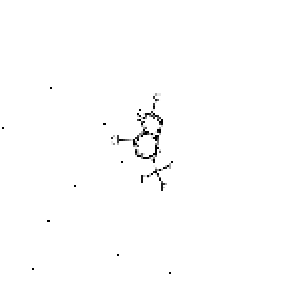 FC(F)(F)c1cc(Cl)c2sc(Cl)cc2n1